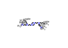 CO[Si](C)(CCCN(CCCN(C)C)CCCN1CCN(CCCN(CCCN(C)C)CCC[Si](C)(OC)OC)CC1)OC